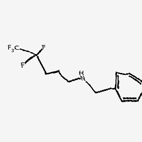 FC(F)(F)C(F)(F)CCCNCc1ccccc1